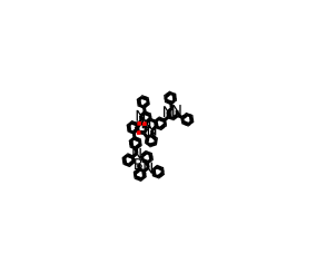 c1ccc(-c2cc(-c3ccc(-n4c5ccccc5c5ccccc54)c(-c4cc(-c5ccccc5)nc(-c5cccc(-c6ccc(N7c8ccccc8B8c9ccccc9N(c9ccccc9)c9cccc7c98)cc6)c5)n4)c3)nc(-c3ccccc3)n2)cc1